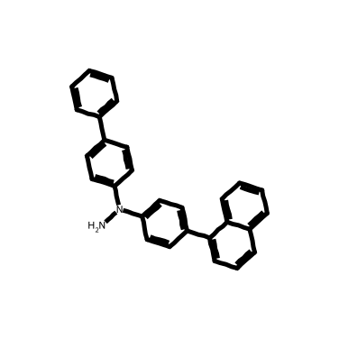 NN(c1ccc(-c2ccccc2)cc1)c1ccc(-c2cccc3ccccc23)cc1